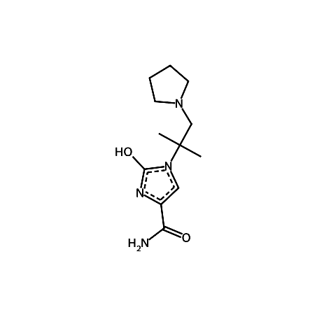 CC(C)(CN1CCCC1)n1cc(C(N)=O)nc1O